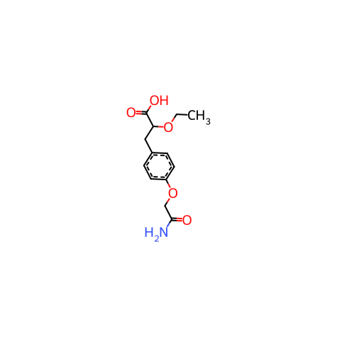 CCOC(Cc1ccc(OCC(N)=O)cc1)C(=O)O